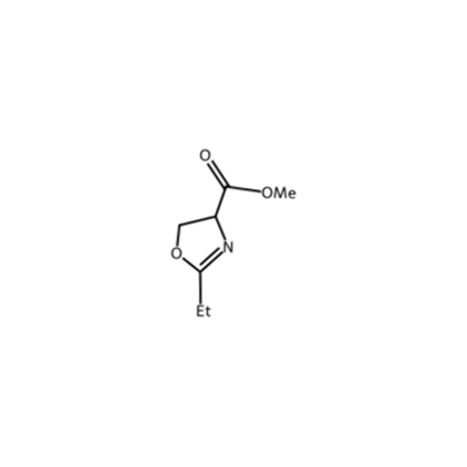 CCC1=NC(C(=O)OC)CO1